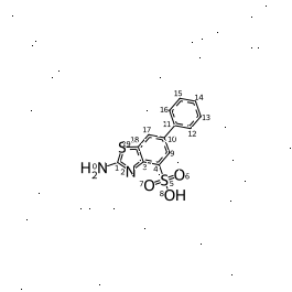 Nc1nc2c(S(=O)(=O)O)cc(-c3ccccc3)cc2s1